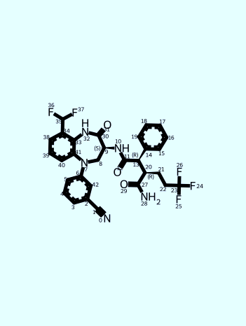 N#Cc1cccc(N2C[C@H](NC(=O)[C@@H](c3ccccc3)[C@@H](CCC(F)(F)F)C(N)=O)C(=O)Nc3c(C(F)F)cccc32)c1